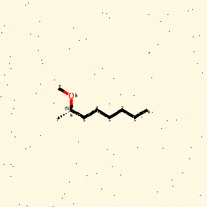 CCCCCC[C@H](C)OC